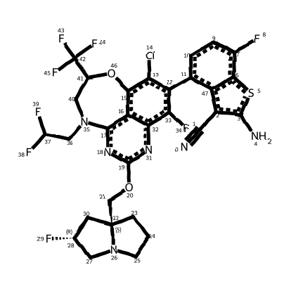 N#Cc1c(N)sc2c(F)ccc(-c3c(Cl)c4c5c(nc(OC[C@@]67CCCN6C[C@H](F)C7)nc5c3F)N(CC(F)F)CC(C(F)(F)F)O4)c12